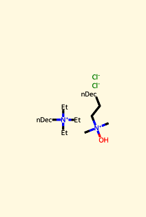 CCCCCCCCCCCC[N+](C)(C)O.CCCCCCCCCC[N+](CC)(CC)CC.[Cl-].[Cl-]